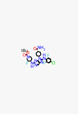 CC(C)(C)OC(=O)N1CC[C@H](Nc2ncc3nc(Nc4c(F)cc(Cl)cc4F)n([C@H]4CC[C@@H](C(N)=O)CC4)c3n2)C(F)C1